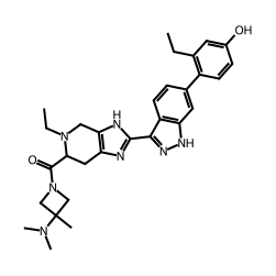 CCc1cc(O)ccc1-c1ccc2c(-c3nc4c([nH]3)CN(CC)C(C(=O)N3CC(C)(N(C)C)C3)C4)n[nH]c2c1